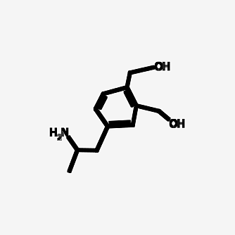 CC(N)Cc1ccc(CO)c(CO)c1